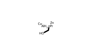 CCCCO.[AlH3].[Cu].[Zn]